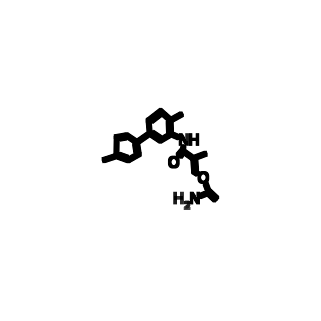 C=C(N)O/C=C(\C)C(=O)Nc1cc(-c2ccc(C)cc2)ccc1C